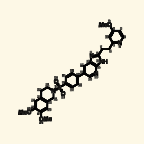 COc1ccnc(CCc2nc3cc(-c4ccc(S(=O)(=O)N5CCc6cc(OC)c(OC)cc6C5)cc4)cnc3[nH]2)c1